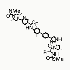 CNC(=O)N1C[C@@H](C)N(c2ccc(C(=O)Nc3cc(C)c(-c4ccc(-c5c[nH]c([C@@H]6C[C@H](C)CN6C(=O)[C@@H](NC(=O)OC)C(C)C)n5)cc4)cc3F)cn2)C[C@@H]1C